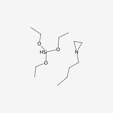 CCCCN1CC1.CCO[SiH](OCC)OCC